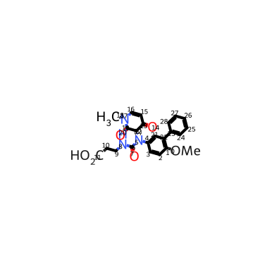 COc1ccc(N(C(=O)NCCC(=O)O)[C@H]2C(=O)C=CN(C)C2=O)cc1-c1ccccc1